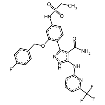 CCS(=O)(=O)Nc1ccc(-c2n[nH]c(Nc3cccc(C(F)(F)F)n3)c2C(N)=O)c(OCc2ccc(F)cc2)c1